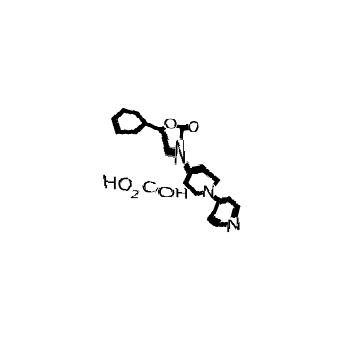 O=C(O)O.O=C1OC(C2CCCCC2)CN1C1CCN(c2ccncc2)CC1